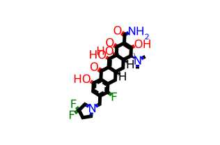 CN(C)[C@@H]1C(O)=C(C(N)=O)C(=O)[C@@]2(O)C(O)=C3C(=O)c4c(O)cc(CN5CCC(F)(F)C5)c(F)c4C[C@H]3C[C@@H]12